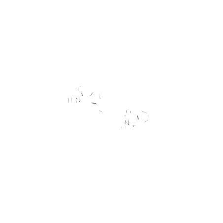 Cc1ccc([C@@H]2CCON2C(=O)[C@H]2CC[C@H](Cc3ccc(C)c(C(N)=O)c3)CC2)cc1